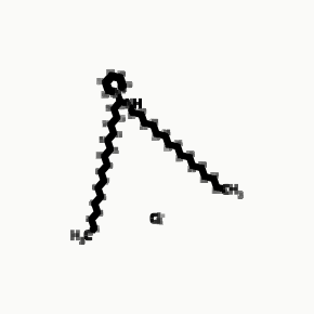 CCCCCCCCCCCCCCCCCC(NCCCCCCCCCCCCCCCC)[n+]1ccccc1.[Cl-]